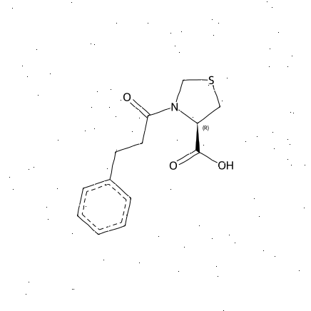 O=C(O)[C@@H]1CSCN1C(=O)CCc1ccccc1